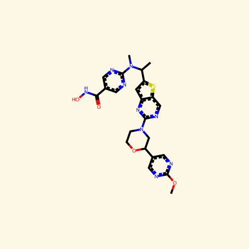 COc1ncc(C2CN(c3ncc4sc(C(C)N(C)c5ncc(C(=O)NO)cn5)cc4n3)CCO2)cn1